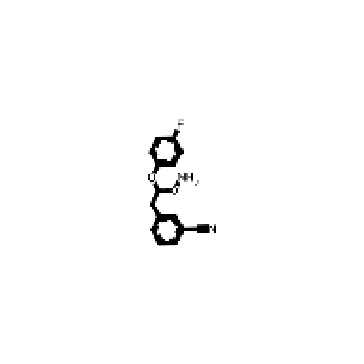 N#Cc1cccc(CC(ON)Oc2ccc(F)cc2)c1